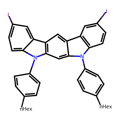 CCCCCCc1ccc(-n2c3ccc(I)cc3c3cc4c5cc(I)ccc5n(-c5ccc(CCCCCC)cc5)c4cc32)cc1